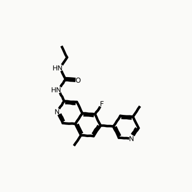 CCNC(=O)Nc1cc2c(F)c(-c3cncc(C)c3)cc(C)c2cn1